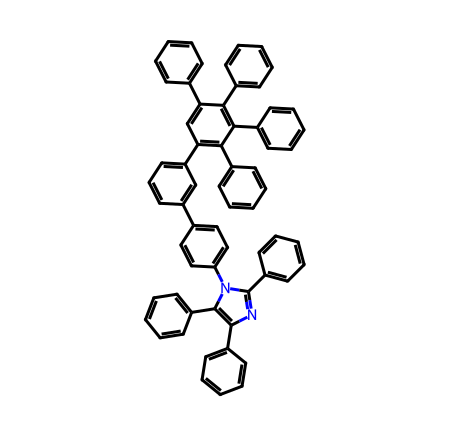 c1ccc(-c2cc(-c3cccc(-c4ccc(-n5c(-c6ccccc6)nc(-c6ccccc6)c5-c5ccccc5)cc4)c3)c(-c3ccccc3)c(-c3ccccc3)c2-c2ccccc2)cc1